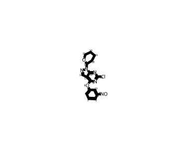 O=Nc1cccc(Oc2nc(Cl)nc3c2cnn3C2CCCCO2)c1